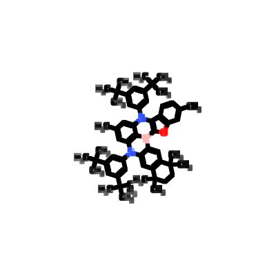 Cc1cc2c3c(c1)N(c1cc(C(C)(C)C)cc(C(C)(C)C)c1)c1c(oc4cc(C)ccc14)B3c1cc3c(cc1N2c1cc(C(C)(C)C)cc(C(C)(C)C)c1)C(C)(C)CCC3(C)C